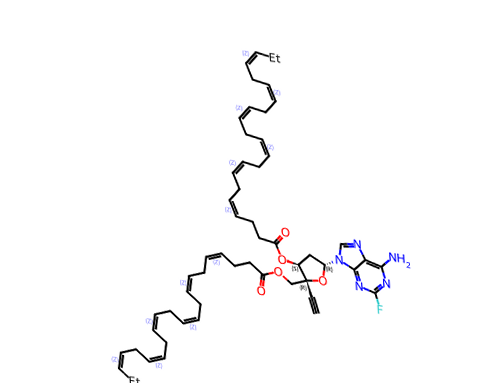 C#C[C@]1(COC(=O)CC/C=C\C/C=C\C/C=C\C/C=C\C/C=C\C/C=C\CC)O[C@@H](n2cnc3c(N)nc(F)nc32)C[C@@H]1OC(=O)CC/C=C\C/C=C\C/C=C\C/C=C\C/C=C\C/C=C\CC